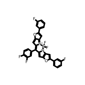 Fc1cccc(-c2cc3c(o2)=CC2=C(c4ccc(F)c(F)c4)c4cc5oc(-c6cccc(F)c6)cc5n4[B-](F)(F)[N+]=32)c1